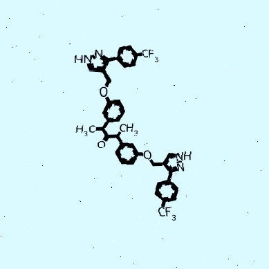 CC(C(=O)C(C)c1cccc(OCc2c[nH]nc2-c2ccc(C(F)(F)F)cc2)c1)c1cccc(OCc2c[nH]nc2-c2ccc(C(F)(F)F)cc2)c1